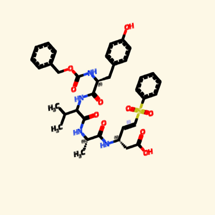 CC(C)C(NC(=O)[C@H](Cc1ccc(O)cc1)NC(=O)OCc1ccccc1)C(=O)N[C@@H](C)C(=O)N[C@H](/C=C/S(=O)(=O)c1ccccc1)CC(=O)O